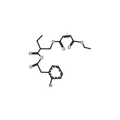 CCOC(=O)/C=C\C(=O)OCC(CC)C(=O)OC(=O)Cc1ccccc1Br